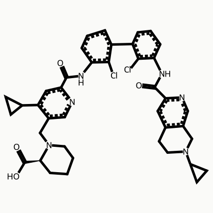 O=C(Nc1cccc(-c2cccc(NC(=O)c3cc(C4CC4)c(CN4CCCC[C@H]4C(=O)O)cn3)c2Cl)c1Cl)c1cc2c(cn1)CN(C1CC1)CC2